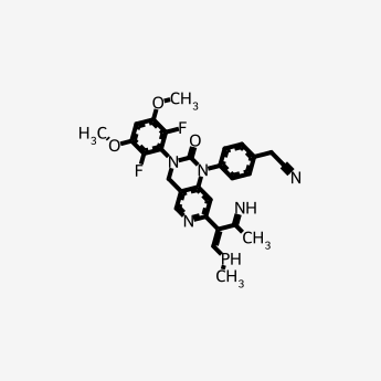 COc1cc(OC)c(F)c(N2Cc3cnc(/C(=C/PC)C(C)=N)cc3N(c3ccc(CC#N)cc3)C2=O)c1F